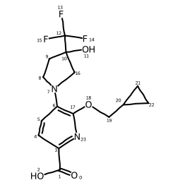 O=C(O)c1ccc(N2CCC(O)(C(F)(F)F)C2)c(OCC2CC2)n1